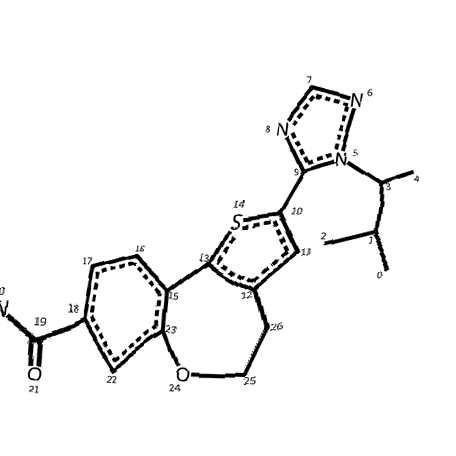 CC(C)C(C)n1ncnc1-c1cc2c(s1)-c1ccc(C(N)=O)cc1OCC2